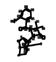 CC1CC2CC3CC(CC23)C1N1C(=O)C(C)(C)N1C(=O)c1ccccc1F